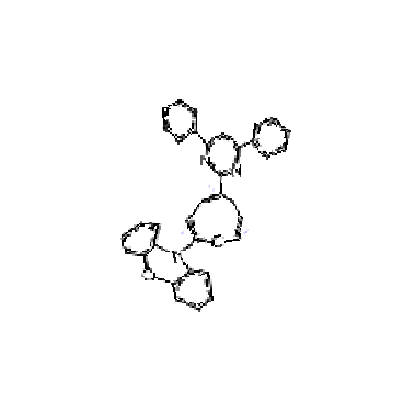 C1=C\C/C(N2c3ccccc3Oc3ccccc32)=C\C=C(\c2nc(-c3ccccc3)cc(-c3ccccc3)n2)C/1